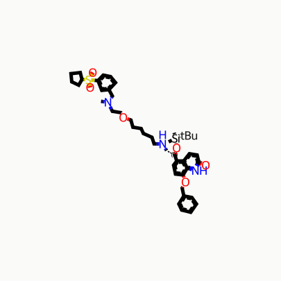 CN(CCOCCCCCCNC[C@H](O[Si](C)(C)C(C)(C)C)c1ccc(OCc2ccccc2)c2[nH]c(=O)ccc12)Cc1cccc(S(=O)(=O)C2CCCC2)c1